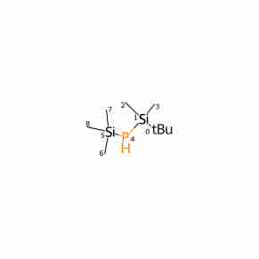 CC(C)(C)[Si](C)(C)P[Si](C)(C)C